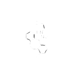 CC/C=C\NN(C)C1c2ccccc2SCc2c(F)cccc21